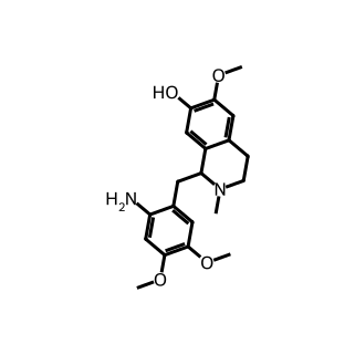 COc1cc2c(cc1O)C(Cc1cc(OC)c(OC)cc1N)N(C)CC2